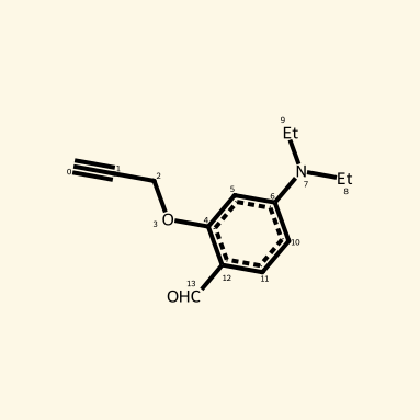 C#CCOc1cc(N(CC)CC)ccc1C=O